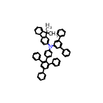 CC1(C)C2=CC=CCC2c2ccc(N(c3ccc(-c4c(-c5ccccc5)cc(-c5ccccc5)cc4-c4ccccc4)cc3)c3cc(-c4ccccc4)cc(-c4ccccc4)c3)cc21